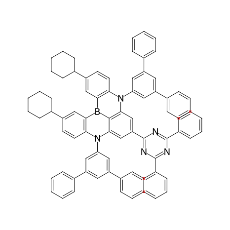 c1ccc(-c2cc(-c3ccccc3)cc(N3c4ccc(C5CCCCC5)cc4B4c5cc(C6CCCCC6)ccc5N(c5cc(-c6ccccc6)cc(-c6ccccc6)c5)c5cc(-c6nc(-c7ccccc7)nc(-c7ccccc7)n6)cc3c54)c2)cc1